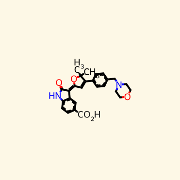 CC1(C)OC(=C2C(=O)Nc3ccc(C(=O)O)cc32)C=C1c1ccc(CN2CCOCC2)cc1